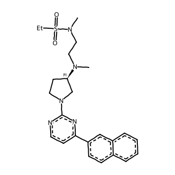 CCS(=O)(=O)N(C)CCN(C)[C@@H]1CCN(c2nccc(-c3ccc4ccccc4c3)n2)C1